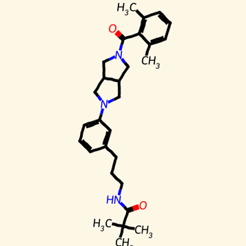 Cc1cccc(C)c1C(=O)N1CC2CN(c3cccc(CCCNC(=O)C(C)(C)C)c3)CC2C1